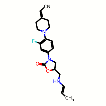 CC=CNCC1CN(c2ccc(N3CCC(=CC#N)CC3)c(F)c2)C(=O)O1